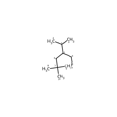 CC(C)C(CF)CC(C)(C)C